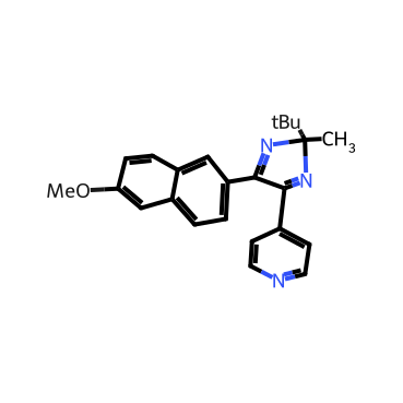 COc1ccc2cc(C3=NC(C)(C(C)(C)C)N=C3c3ccncc3)ccc2c1